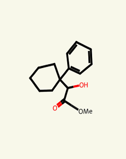 COC(=O)C(O)C1(c2ccccc2)CCCCC1